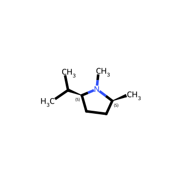 CC(C)[C@@H]1CC[C@H](C)N1C